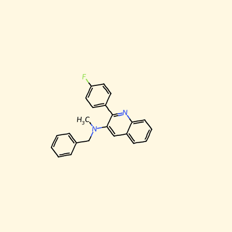 CN(Cc1ccccc1)c1cc2ccccc2nc1-c1ccc(F)cc1